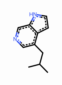 CC(C)Cc1cncc2[nH]ccc12